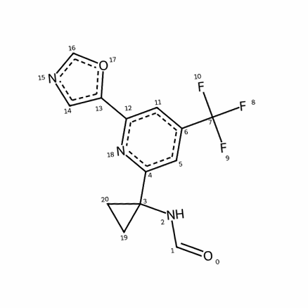 O=CNC1(c2cc(C(F)(F)F)cc(-c3cnco3)n2)CC1